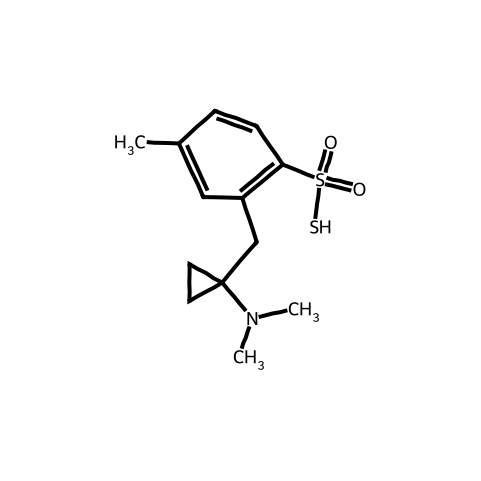 Cc1ccc(S(=O)(=O)S)c(CC2(N(C)C)CC2)c1